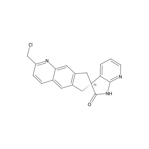 O=C1Nc2ncccc2[C@@]12Cc1cc3ccc(CCl)nc3cc1C2